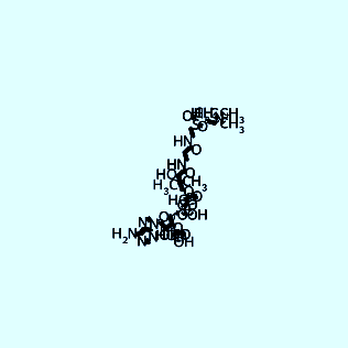 CC(=O)[SH](CCNC(=O)CCNC(=O)C(O)C(C)(C)COP(=O)(O)OP(=O)(O)OC[C@H]1O[C@@H](n2cnc3c(N)ncnc32)[C@H](O)[C@@H]1OP(=O)(O)O)OCC[N+](C)(C)C